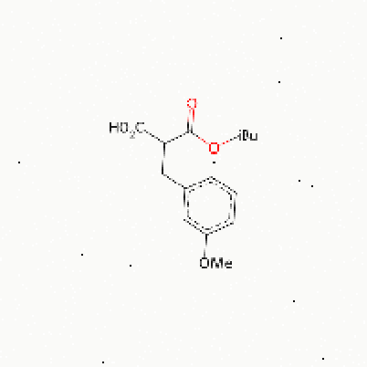 CCC(C)OC(=O)C(Cc1cccc(OC)c1)C(=O)O